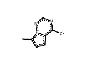 Cc1ccc2c(C#N)ncnn12